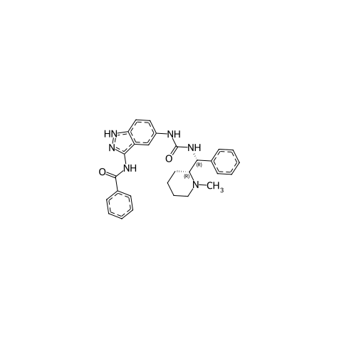 CN1CCCC[C@@H]1[C@H](NC(=O)Nc1ccc2[nH]nc(NC(=O)c3ccccc3)c2c1)c1ccccc1